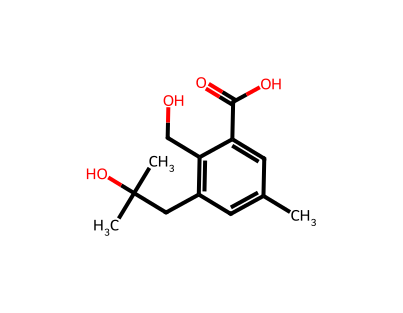 Cc1cc(CC(C)(C)O)c(CO)c(C(=O)O)c1